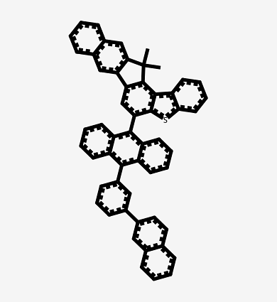 CC1(C)c2cc3ccccc3cc2-c2cc(-c3c4ccccc4c(-c4cccc(-c5ccc6ccccc6c5)c4)c4ccccc34)c3sc4ccccc4c3c21